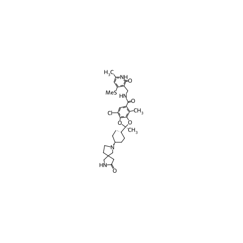 CSc1cc(C)[nH]c(=O)c1CNC(=O)c1cc(Cl)c2c(c1C)O[C@@](C)([C@H]1CC[C@H](N3CCC4(CNC(=O)C4)C3)CC1)O2